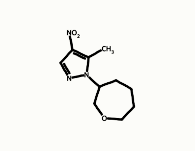 Cc1c([N+](=O)[O-])cnn1C1CCCCOC1